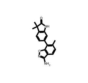 Cc1ccc2c(N)noc2c1-c1ccc2c(c1)NC(=O)C2(C)C